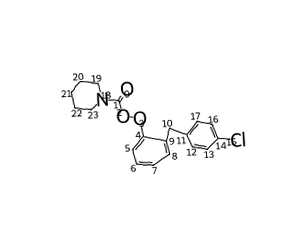 O=C(OOc1ccccc1Cc1ccc(Cl)cc1)N1CCCCC1